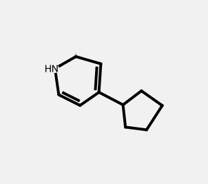 [CH]1C=C(C2CCCC2)C=CN1